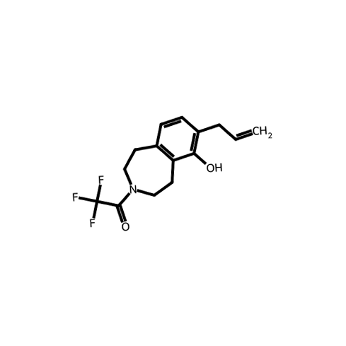 C=CCc1ccc2c(c1O)CCN(C(=O)C(F)(F)F)CC2